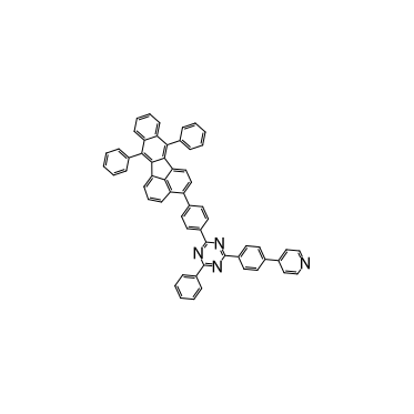 c1ccc(-c2nc(-c3ccc(-c4ccncc4)cc3)nc(-c3ccc(-c4ccc5c6c(cccc46)-c4c-5c(-c5ccccc5)c5ccccc5c4-c4ccccc4)cc3)n2)cc1